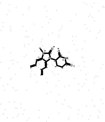 C=C/C=c1\c(=C/C=C)n(C2CCC(=O)NC2=O)c(=O)n1C